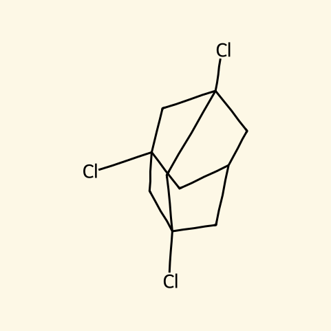 ClC12CC3CC(Cl)(C1)CC(Cl)(C3)C2